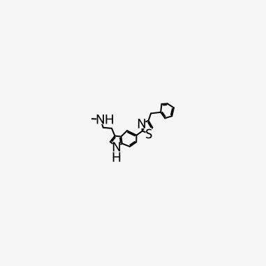 CNCCc1c[nH]c2ccc(-c3nc(Cc4ccccc4)cs3)cc12